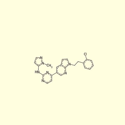 Cn1nccc1Nc1nccc(-c2cnc3c(ccn3CCc3ccccc3Cl)c2)n1